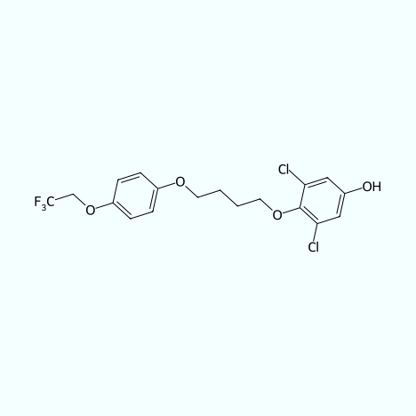 Oc1cc(Cl)c(OCCCCOc2ccc(OCC(F)(F)F)cc2)c(Cl)c1